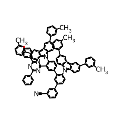 Cc1cccc(-c2ccc3c(c2)c2cc(-c4cccc(C)c4)ccc2n3-c2ccc(-c3cccc(C#N)c3)cc2-c2ccc(-n3c4ccc(-c5cccc(C)c5)cc4c4cc(-c5cccc(C)c5)ccc43)c(-c3nc(-c4ccccc4)nc(-c4ccccc4)n3)c2)c1